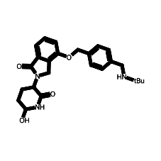 CC(C)(C)NCc1ccc(COc2cccc3c2CN(C2CCC(O)NC2=O)C3=O)cc1